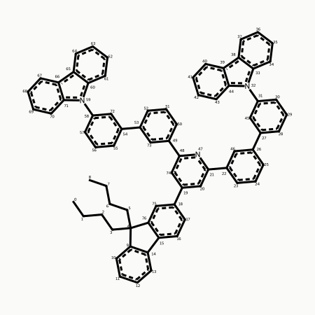 CCCCC1(CCCC)c2ccccc2-c2ccc(-c3cc(-c4cccc(-c5cccc(-n6c7ccccc7c7ccccc76)c5)c4)nc(-c4cccc(-c5cccc(-n6c7ccccc7c7ccccc76)c5)c4)c3)cc21